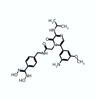 COc1cc(N)cc(-c2cnc(NC(C)C)c(=O)n2CC(=O)NCc2ccc(/C(=N/O)NO)cc2)c1